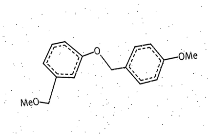 COCc1cccc(OCc2ccc(OC)cc2)c1